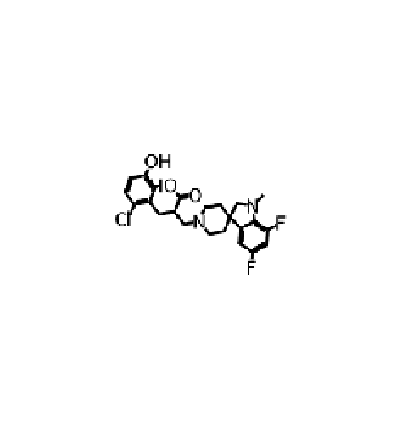 CN1CC2(CCN(CC(Cc3cc(O)ccc3Cl)C(=O)O)CC2)c2cc(F)cc(F)c21